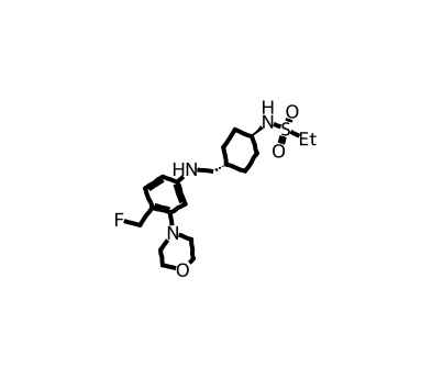 CCS(=O)(=O)N[C@H]1CC[C@H](CNc2ccc(CF)c(N3CCOCC3)c2)CC1